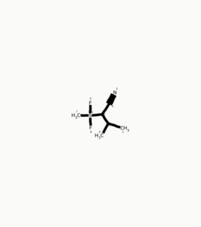 CC(C)C(C#N)S(C)(F)F